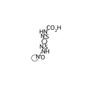 O=C(O)CNc1nc2cc3nc(NCC(=O)N4CCCCCC4)sc3cc2s1